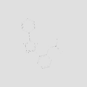 CC(=O)Oc1ccccc1-c1nnc(-c2ccccc2)o1